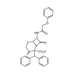 C=C1CSC2C(NC(=O)COc3ccccc3)C(=O)N2C1(C(=O)O)C(c1ccccc1)c1ccccc1